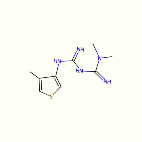 Cc1cscc1NC(=N)NC(=N)N(C)C